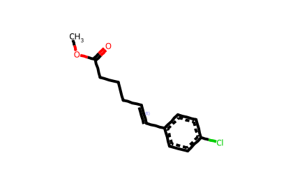 COC(=O)CCC/C=C/c1ccc(Cl)cc1